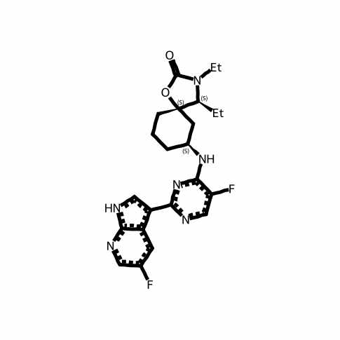 CC[C@@H]1N(CC)C(=O)O[C@]12CCC[C@H](Nc1nc(-c3c[nH]c4ncc(F)cc34)ncc1F)C2